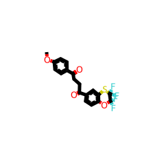 COc1ccc(C(=O)CCC(=O)c2ccc3c(c2)SC(F)(F)C(F)(F)O3)cc1